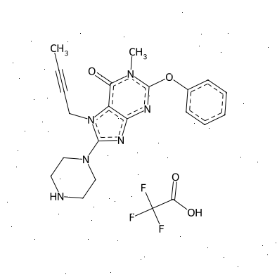 CC#CCn1c(N2CCNCC2)nc2nc(Oc3ccccc3)n(C)c(=O)c21.O=C(O)C(F)(F)F